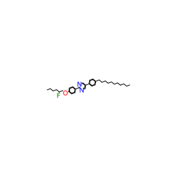 CCCCCCCCCCCc1ccc(-c2cnc(-c3ccc(OCC(F)CCCC)cc3)nc2)cc1